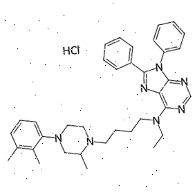 CCN(CCCCN1CCN(c2cccc(C)c2C)CC1C)c1ncnc2c1nc(-c1ccccc1)n2-c1ccccc1.Cl